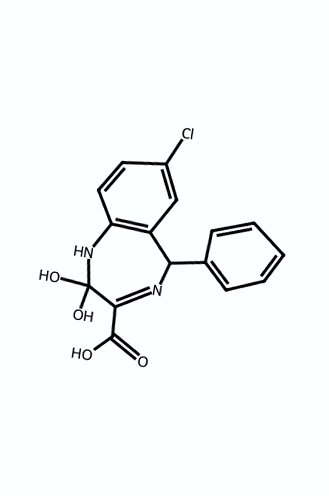 O=C(O)C1=NC(c2ccccc2)c2cc(Cl)ccc2NC1(O)O